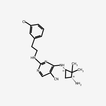 CC1(C)[C@H](N)C[C@@H]1Nc1nc(NCCc2cccc(Cl)c2)ncc1C#N